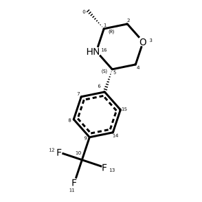 C[C@@H]1COC[C@H](c2ccc(C(F)(F)F)cc2)N1